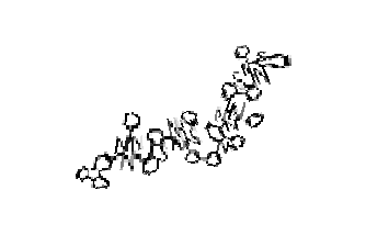 c1ccc(-c2nc(-c3ccc4c5ccccc5c5ccccc5c4c3)nc(-c3cccc4sc5c(-c6nc(-c7cccc(-c8cccc(-n9c%10ccccc%10c%10c(-c%11nc(-c%12ccccc%12)nc(-c%12cccc%13sc%14c(-c%15nc(-c%16ccccc%16)c%16sc%17ccccc%17c%16n%15)cccc%14c%12%13)n%11)cccc%109)c8)c7)c7sc8ccccc8c7n6)cccc5c34)n2)cc1